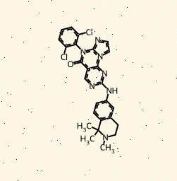 CN1CCc2cc(Nc3ncc4c(=O)n(-c5c(Cl)cccc5Cl)c5nccn5c4n3)ccc2C1(C)C